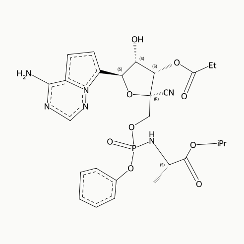 CCC(=O)O[C@H]1[C@@H](O)[C@H](c2ccc3c(N)ncnn23)O[C@]1(C#N)COP(=O)(N[C@@H](C)C(=O)OC(C)C)Oc1ccccc1